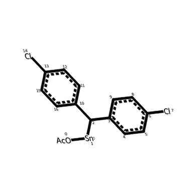 CC(=O)[O][Sn][CH](c1ccc(Cl)cc1)c1ccc(Cl)cc1